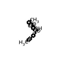 Cc1cccc(C)c1CS(=O)(=O)c1ccc2c(c1)NC(=O)C(=Cc1ccc(N3CCN(C)CC3)cc1)S2